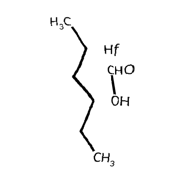 CCCCCC.O=CO.[Hf]